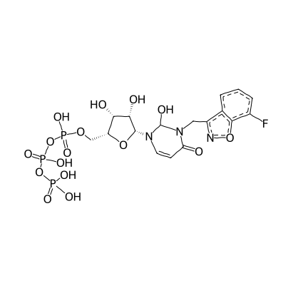 O=C1C=CN([C@@H]2O[C@H](COP(=O)(O)OP(=O)(O)OP(=O)(O)O)[C@H](O)[C@@H]2O)C(O)N1Cc1noc2c(F)cccc12